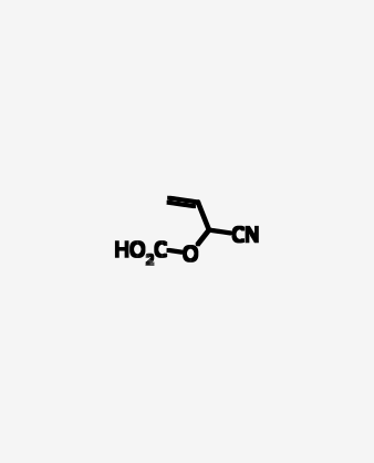 C=CC(C#N)OC(=O)O